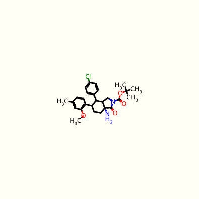 COc1cc(C)ccc1C1CCC2(N)C(=O)N(C(=O)OC(C)(C)C)CC2C1c1ccc(Cl)cc1